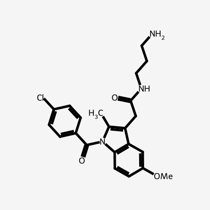 COc1ccc2c(c1)c(CC(=O)NCCCN)c(C)n2C(=O)c1ccc(Cl)cc1